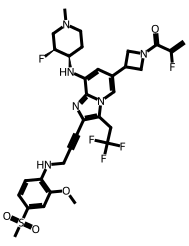 C=C(F)C(=O)N1CC(c2cc(N[C@@H]3CCN(C)C[C@@H]3F)c3nc(C#CCNc4ccc(S(C)(=O)=O)cc4OC)c(CC(F)(F)F)n3c2)C1